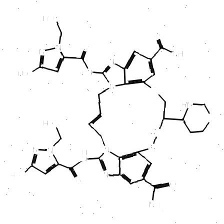 CCn1nc(C)cc1C(=O)Nc1nc2cc(C(N)=O)cc3c2n1C/C=C/Cn1c(NC(=O)c2cc(C)nn2CC)nc2cc(C(N)=O)cc(c21)OCC(C1CCOCN1)CO3